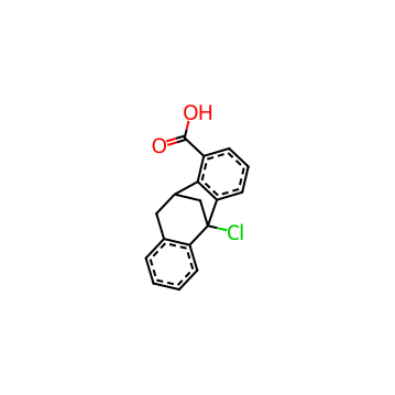 O=C(O)c1cccc2c1C1Cc3ccccc3C2(Cl)C1